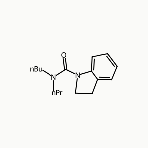 CCCCN(CCC)C(=O)N1CCc2ccccc21